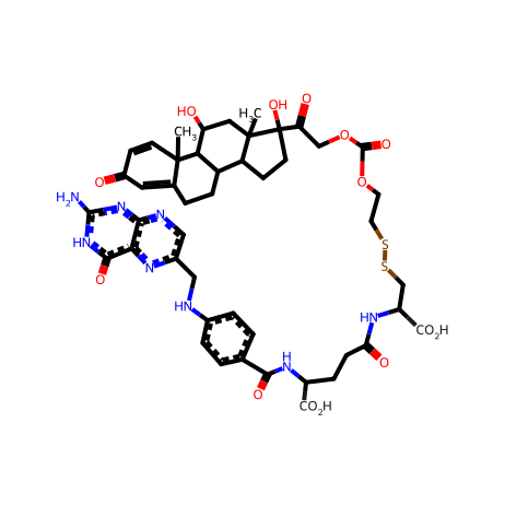 CC12C=CC(=O)C=C1CCC1C2C(O)CC2(C)C1CCC2(O)C(=O)COC(=O)OCCSSCC(NC(=O)CCC(NC(=O)c1ccc(NCc2cnc3nc(N)[nH]c(=O)c3n2)cc1)C(=O)O)C(=O)O